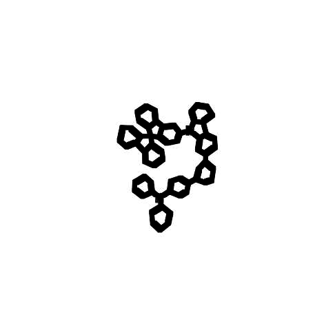 c1ccc(N(c2ccccc2)c2ccc(-c3cccc(-c4ccc5c6ccccc6n(-c6ccc7c(c6)-c6ccccc6C76c7ccccc7-c7ccccc76)c5c4)c3)cc2)cc1